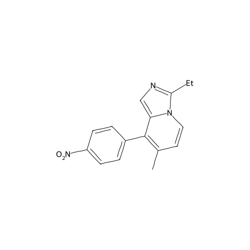 CCc1ncc2c(-c3ccc([N+](=O)[O-])cc3)c(C)ccn12